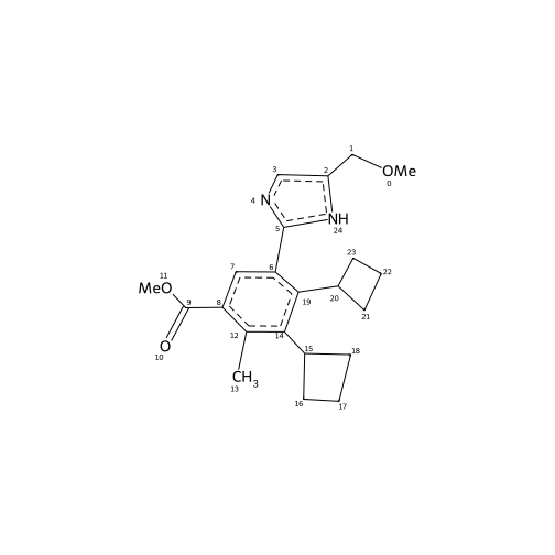 COCc1cnc(-c2cc(C(=O)OC)c(C)c(C3CCC3)c2C2CCC2)[nH]1